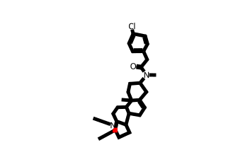 CC1C2CCC3C4CC=C5CC(N(C)C(=O)Cc6ccc(Cl)cc6)CCC5(C)C4CCC32CN1C